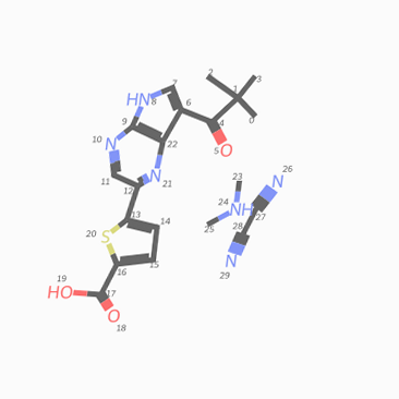 CC(C)(C)C(=O)c1c[nH]c2ncc(-c3ccc(C(=O)O)s3)nc12.CNC.N#CC#N